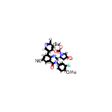 COc1ccc(-n2c([C@@H]3CC(=O)CN3C(=O)OC(C)(C)C)nc3c(-c4ccc(C)nc4)cc(C#N)cc3c2=O)cc1F